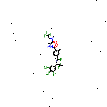 Cc1cc(/C(F)=C/C(c2cc(Cl)c(Cl)c(Cl)c2)C(C)(F)F)ccc1C(=O)NC(C)C(=O)N(C)CC(F)(F)F